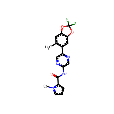 CCn1cccc1C(=O)Nc1cnc(-c2cc3c(cc2C)OC(F)(F)O3)cn1